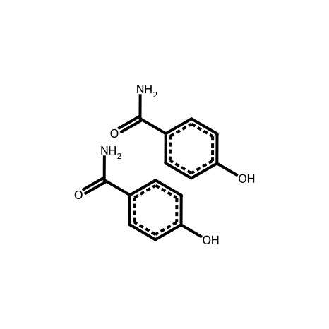 NC(=O)c1ccc(O)cc1.NC(=O)c1ccc(O)cc1